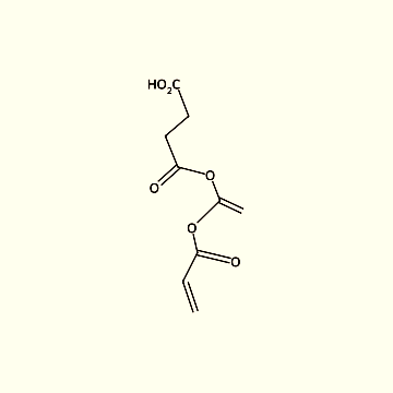 C=CC(=O)OC(=C)OC(=O)CCC(=O)O